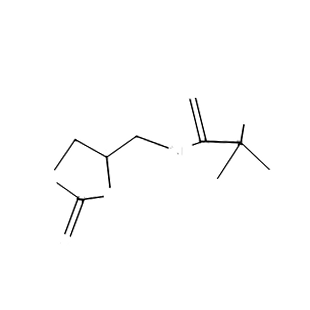 CCC(C)(C)C(=O)NCC1COC(=O)O1